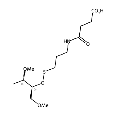 COC[C@H](OSCCCNC(=O)CCC(=O)O)[C@@H](C)OC